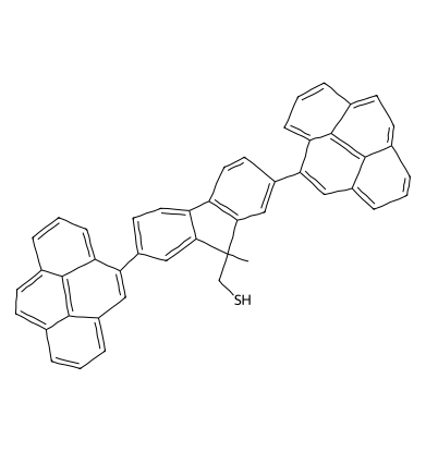 CC1(CS)c2cc(-c3cc4cccc5ccc6cccc3c6c54)ccc2-c2ccc(-c3cc4cccc5ccc6cccc3c6c54)cc21